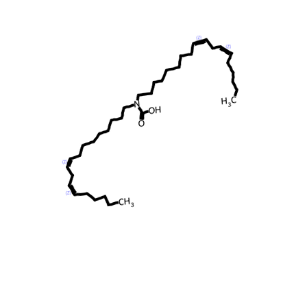 CCCCC/C=C\C/C=C\CCCCCCCCN(CCCCCCCC/C=C\C/C=C\CCCCC)C(=O)O